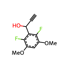 C#CC(O)c1c(F)c(OC)cc(OC)c1F